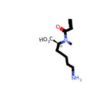 C=CC(=O)N(C)[C@@H](CCCCN)C(=O)O